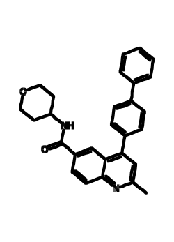 Cc1cc(-c2ccc(-c3ccccc3)cc2)c2cc(C(=O)NC3CCOCC3)ccc2n1